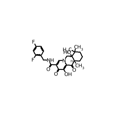 CC1(C)CCC[C@]2(C)C(=O)c3c(O)c(=O)c(C(=O)NCc4ccc(F)cc4F)cn3C[C@]12O